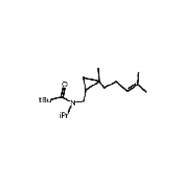 CC(C)=CCCC1(C)CC1CN(C(=O)C(C)(C)C)C(C)C